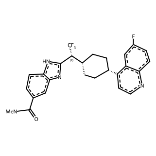 CNC(=O)c1ccc2[nH]c([C@@H]([C@H]3CC[C@@H](c4ccnc5ccc(F)cc54)CC3)C(F)(F)F)nc2c1